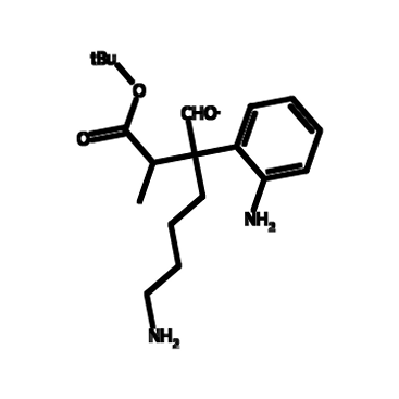 CC(C(=O)OC(C)(C)C)C([C]=O)(CCCCN)c1ccccc1N